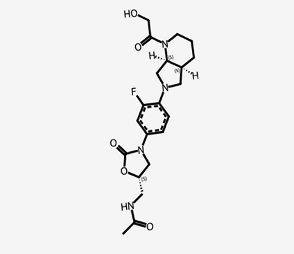 CC(=O)NC[C@H]1CN(c2ccc(N3C[C@@H]4CCCN(C(=O)CO)[C@@H]4C3)c(F)c2)C(=O)O1